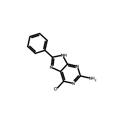 Nc1nc(Cl)c2nc(-c3ccccc3)[nH]c2n1